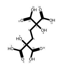 O=C(O)C(O)(CCC(O)(C(=O)O)C(=O)O)C(=O)O